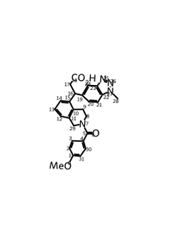 COc1ccc(C(=O)N2CCc3c(cccc3C(CC(=O)O)c3ccc4c(c3)nnn4C)C2)cc1